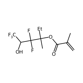 C=C(C)C(=O)OC(C)(CC)C(F)(F)C(O)C(F)(F)F